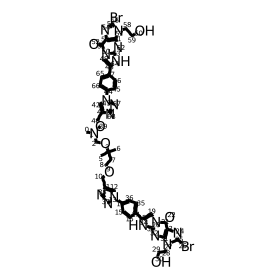 CN(COC(C)(C)CCOCc1cn(-c2ccc(-c3cn4c(=O)c5nc(Br)n(CCO)c5nc4[nH]3)cc2)nn1)OCc1cn(-c2ccc(-c3cn4c(=O)c5nc(Br)n(CCO)c5nc4[nH]3)cc2)nn1